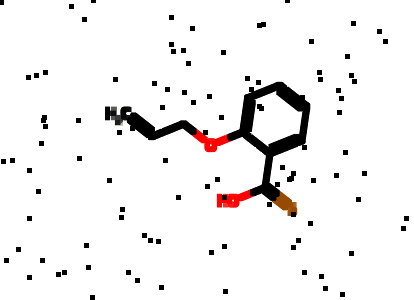 C=CCOc1ccccc1C(O)=S